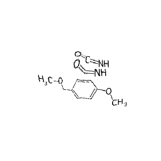 COCc1ccc(OC)cc1.N=C=O.N=C=O